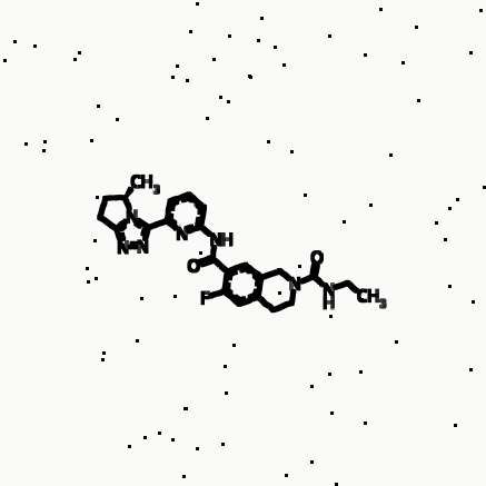 CCNC(=O)N1CCc2cc(F)c(C(=O)Nc3cccc(-c4nnc5n4[C@H](C)CC5)n3)cc2C1